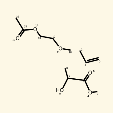 C=CC.COC(=O)C(C)O.COCCOC(C)=O